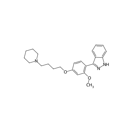 COc1cc(OCCCCN2CCCCC2)ccc1-c1n[nH]c2ccccc12